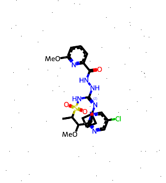 COc1cccc(C(=O)NN/C(=N/C23CC(C2)C3)NS(=O)(=O)C(C)C(OC)c2ncc(Cl)cn2)n1